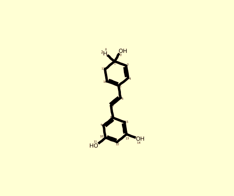 [2H]C1(O)C=CC(C=Cc2cc(O)cc(O)c2)=CC1